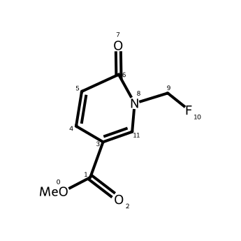 COC(=O)c1ccc(=O)n(CF)c1